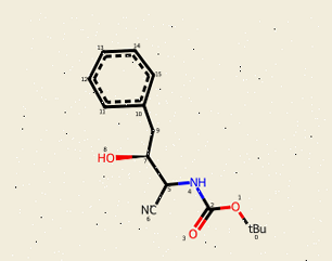 CC(C)(C)OC(=O)NC(C#N)[C@@H](O)Cc1ccccc1